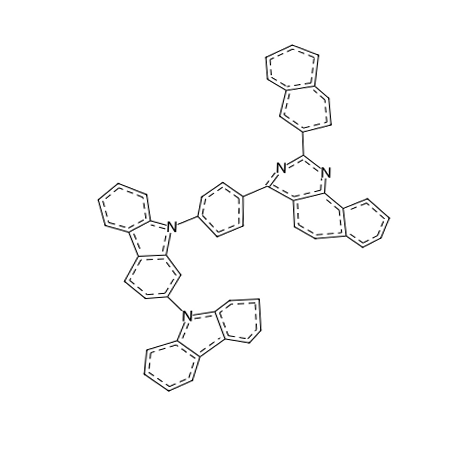 c1ccc2cc(-c3nc(-c4ccc(-n5c6ccccc6c6ccc(-n7c8ccccc8c8ccccc87)cc65)cc4)c4ccc5ccccc5c4n3)ccc2c1